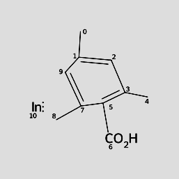 Cc1cc(C)c(C(=O)O)c(C)c1.[In]